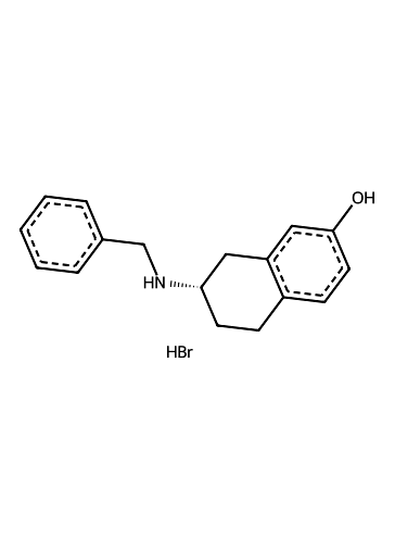 Br.Oc1ccc2c(c1)C[C@@H](NCc1ccccc1)CC2